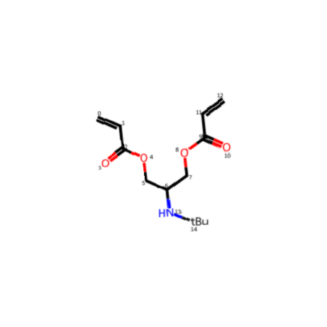 C=CC(=O)OCC(COC(=O)C=C)NC(C)(C)C